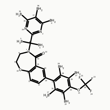 Bc1nc(C(B)(B)N2CCOc3ccc(-c4c(B)c(B)c(OC(F)(F)F)c(B)c4B)cc3C2=O)nc(B)c1B